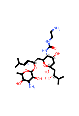 CC(C)/C=C/[C@@H](CC1O[C@](O)(C[C@@H](O)C(C)C)C[C@H](O)[C@H]1NC(=O)NCCN)OC1OC(C)C(O)C(N)C1O